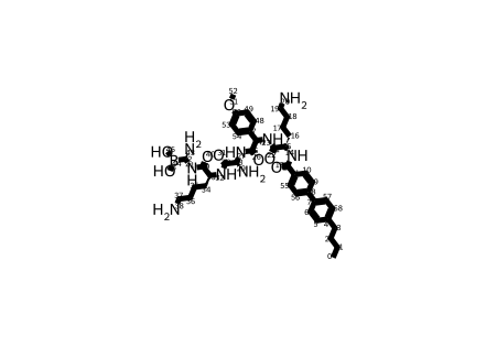 CCCCc1ccc(-c2ccc(C(=O)N[C@@H](CCCCN)C(=O)NC(C(=O)N[C@@H](N)C(=O)N[C@@H](CCCCN)C(=O)N[C@@H](N)B(O)O)c3ccc(OC)cc3)cc2)cc1